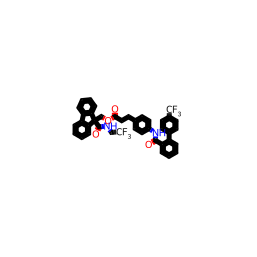 O=C(CCc1ccc(NC(=O)c2ccccc2-c2ccc(C(F)(F)F)cc2)cc1)OCC1(C(=O)NCC(F)(F)F)c2ccccc2-c2ccccc21